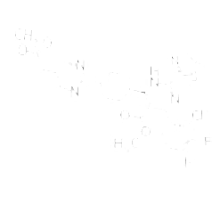 COC(=O)Cc1cnc([C@H]2CC[C@H](C3=C(C(=O)OC)C(c4ccc(F)c(F)c4Cl)N=C(c4nccs4)N3)CC2)nc1